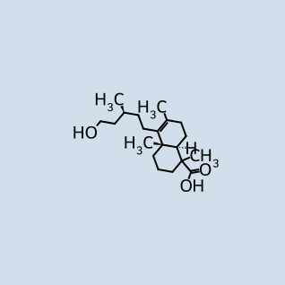 CC1=C(CC[C@H](C)CCO)[C@@]2(C)CCCC(C)(C(=O)O)[C@@H]2CC1